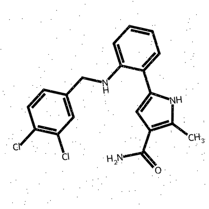 Cc1[nH]c(-c2ccccc2NCc2ccc(Cl)c(Cl)c2)cc1C(N)=O